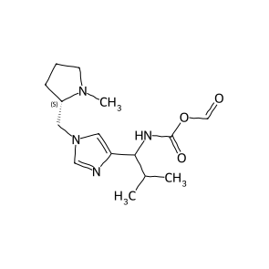 CC(C)C(NC(=O)OC=O)c1cn(C[C@@H]2CCCN2C)cn1